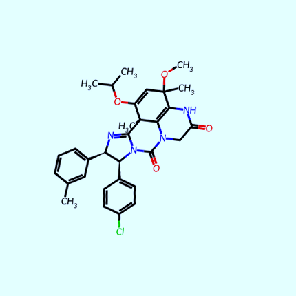 COC1(C)C=C(OC(C)C)C2(C)C3=N[C@H](c4cccc(C)c4)[C@H](c4ccc(Cl)cc4)N3C(=O)N3CC(=O)NC1=C32